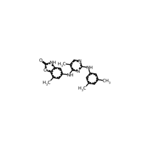 Cc1cc(C)cc(Nc2ncc(C)c(Nc3cc(C)c4oc(=O)[nH]c4c3)n2)c1